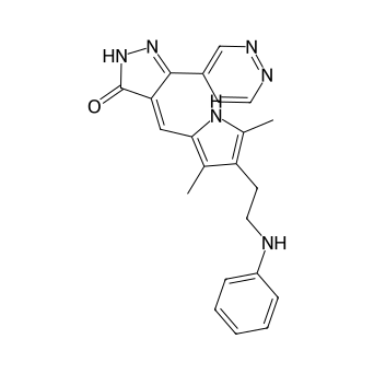 Cc1[nH]c(/C=C2/C(=O)NN=C2c2ccnnc2)c(C)c1CCNc1ccccc1